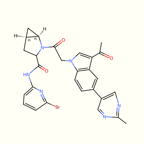 CC(=O)c1cn(CC(=O)N2C(C(=O)Nc3cccc(Br)n3)C[C@H]3C[C@H]32)c2ccc(-c3cnc(C)nc3)cc12